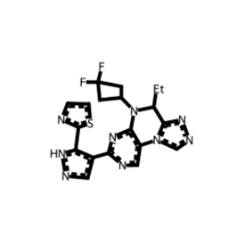 CCC1c2nncn2-c2cnc(-c3cn[nH]c3-c3nccs3)nc2N1C1CC(F)(F)C1